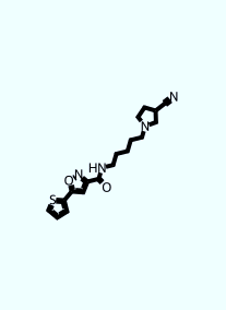 N#CC1CCN(CCCCCNC(=O)c2cc(-c3cccs3)on2)C1